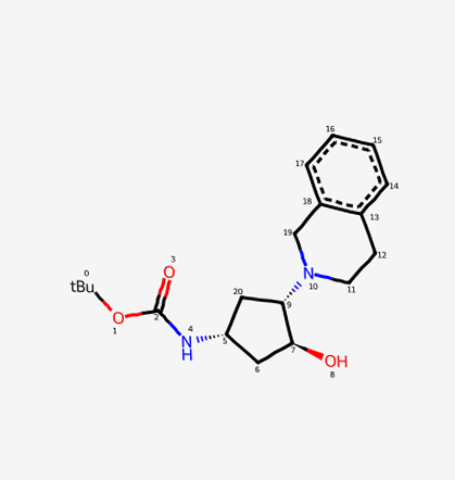 CC(C)(C)OC(=O)N[C@H]1C[C@H](O)[C@@H](N2CCc3ccccc3C2)C1